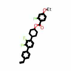 C=Cc1ccc(-c2ccc(C3CCC(OC(=O)c4ccc(OCC)cc4F)CC3)c(F)c2F)cc1